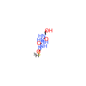 [3H]SOC=NNC(=O)NNC(=O)NCCO